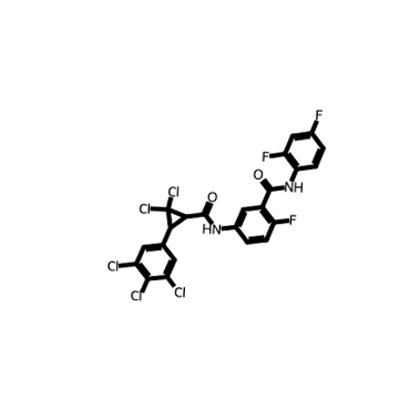 O=C(Nc1ccc(F)cc1F)c1cc(NC(=O)C2C(c3cc(Cl)c(Cl)c(Cl)c3)C2(Cl)Cl)ccc1F